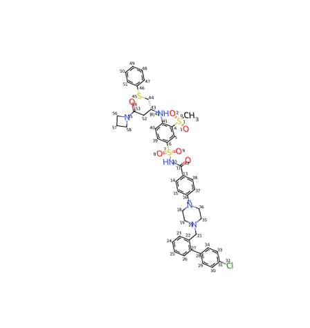 CS(=O)(=O)c1cc(S(=O)(=O)NC(=O)c2ccc(N3CCN(Cc4ccccc4-c4ccc(Cl)cc4)CC3)cc2)ccc1N[C@@H](CSc1ccccc1)CC(=O)N1CCC1